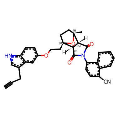 C#CCc1c[nH]c2ccc(OCC[C@@]34CC[C@@](C)(O3)[C@H]3C(=O)N(c5ccc(C#N)c6ccccc56)C(=O)[C@H]34)cc12